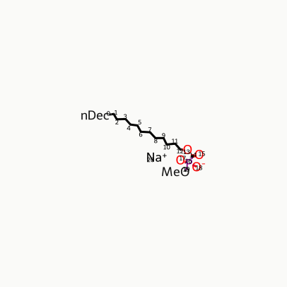 CCCCCCCCCCCCCCCCCCCCCCOC(=O)P(=O)([O-])OC.[Na+]